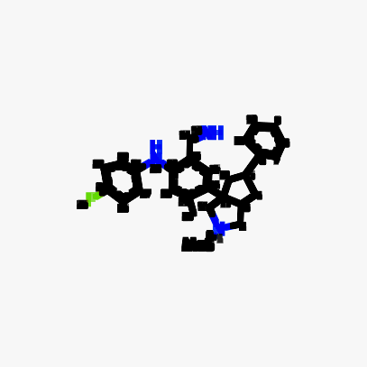 CSN1CC2CC(c3ccccc3)CC2(c2cc(C=N)c(Nc3ccc(F)cc3)cc2C)C1